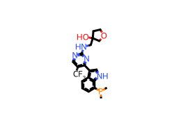 CP(C)c1cccc2c(-c3nc(NCC4(O)CCOC4)ncc3C(F)(F)F)c[nH]c12